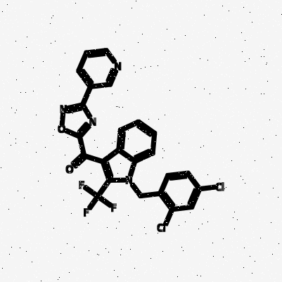 O=C(c1nc(-c2cccnc2)no1)c1c(C(F)(F)F)n(Cc2ccc(Cl)cc2Cl)c2ccccc12